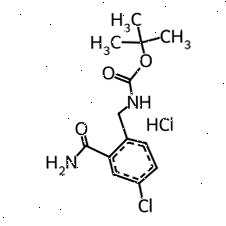 CC(C)(C)OC(=O)NCc1ccc(Cl)cc1C(N)=O.Cl